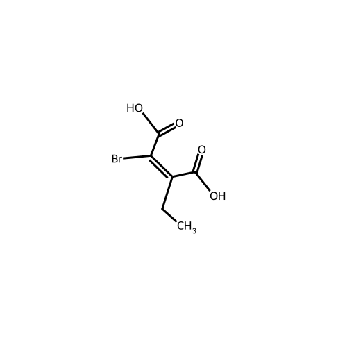 CC/C(C(=O)O)=C(\Br)C(=O)O